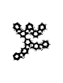 c1ccc2c(c1)oc1cc3c(cc12)c1cc(-c2cc4oc5ccccc5c4c4c5cccc6c7c8c(ccc7n(c24)c65)oc2ccccc28)cc2c4cc5c(cc4n3c12)oc1ccccc15